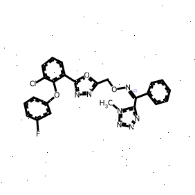 Cn1nnnc1/C(=N\OCc1nnc(-c2cccc(Cl)c2Oc2cccc(F)c2)o1)c1ccccc1